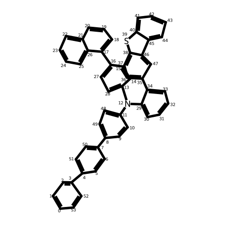 c1ccc(-c2ccc(-c3ccc(N(c4ccc(-c5cccc6ccccc56)cc4)c4ccccc4-c4ccc5sc6ccccc6c5c4)cc3)cc2)cc1